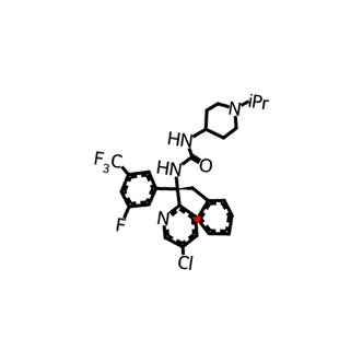 CC(C)N1CCC(NC(=O)N[C@@](Cc2ccccc2)(c2cc(F)cc(C(F)(F)F)c2)c2ccc(Cl)cn2)CC1